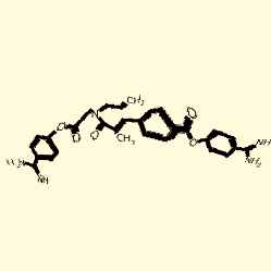 C=CCN(CC(=O)Oc1ccc(C(=N)N)cc1)C(=O)C(C)=Cc1ccc(C(=O)Oc2ccc(C(=N)N)cc2)cc1